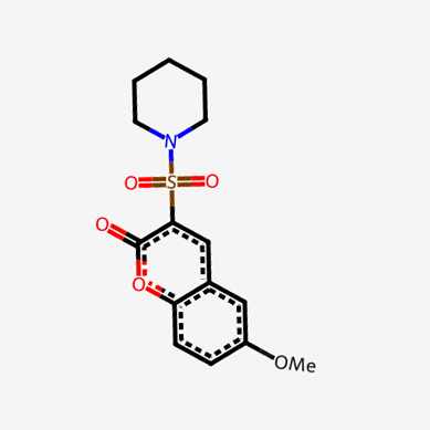 COc1ccc2oc(=O)c(S(=O)(=O)N3CCCCC3)cc2c1